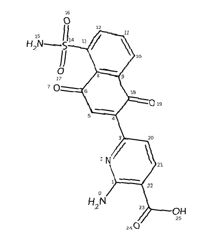 Nc1nc(C2=CC(=O)c3c(cccc3S(N)(=O)=O)C2=O)ccc1C(=O)O